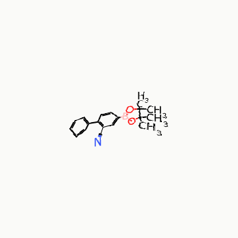 CC1(C)OB(c2ccc(-c3ccccc3)c(C#N)c2)OC1(C)C